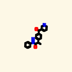 CC(C(=O)Nc1ccccc1)c1ccc(C(=O)c2cccnc2)cc1